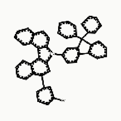 Brc1cccc(-c2cc3c(c4ccccc24)c2c4ccccc4ccc2n3-c2ccc3c(c2)C(c2ccccc2)(c2ccccc2)c2ccccc2-3)c1